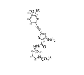 CCOC(=O)c1ccc(C#Cc2cc(N)c(C(=O)N[C@H]3CCCN(C(=O)O)C3)s2)cc1